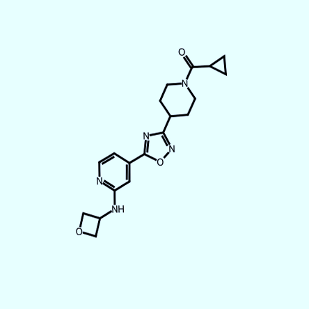 O=C(C1CC1)N1CCC(c2noc(-c3ccnc(NC4COC4)c3)n2)CC1